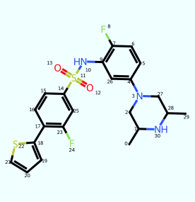 CC1CN(c2ccc(F)c(NS(=O)(=O)c3ccc(-c4cccs4)c(F)c3)c2)CC(C)N1